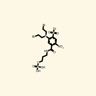 CCS(=O)(=O)c1cc([N+](=O)[O-])c(C(=O)NCCCOP(=O)(O)O)cc1N(CCBr)CCBr